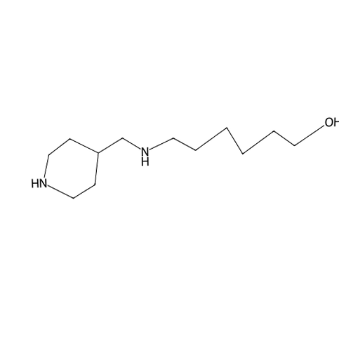 OCCCCCCNCC1CCNCC1